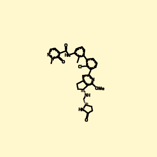 COc1nc(-c2cccc(-c3cccc(NC(=O)c4ccnn(C)c4=O)c3C)c2Cl)cc2c1[C@H](NC[C@@H]1CCC(=O)N1)CC2